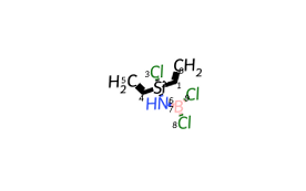 C=C[Si](Cl)(C=C)NB(Cl)Cl